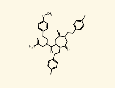 C=C(C1CC(=O)N(CCc2ccc(F)cc2)CC(=O)N1CCc1ccc(F)cc1)N(CCc1ccc(OC)cc1)CC(N)=O